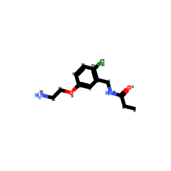 CCC(=O)NCc1cc(OCCN)ccc1Cl